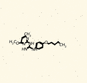 CCCCCOc1ccc(NC(=N)Nc2nc(C)cc(OC)n2)cc1